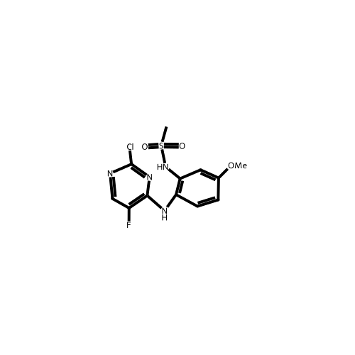 COc1ccc(Nc2nc(Cl)ncc2F)c(NS(C)(=O)=O)c1